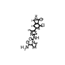 Cc1nc(NC(=O)N2CCC[C@H]2C(N)=O)sc1-c1cc(Cl)c2c(c1)CN(C)C2=O